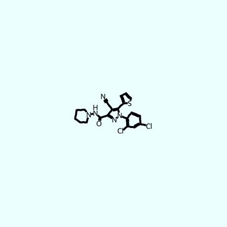 N#Cc1c(C(=O)NN2CCCCC2)nn(-c2ccc(Cl)cc2Cl)c1-c1cccs1